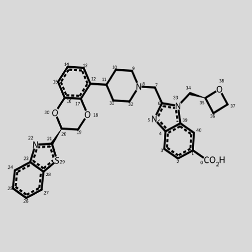 O=C(O)c1ccc2nc(CN3CCC(c4cccc5c4OC[C@@H](c4nc6ccccc6s4)O5)CC3)n(C[C@@H]3CCO3)c2c1